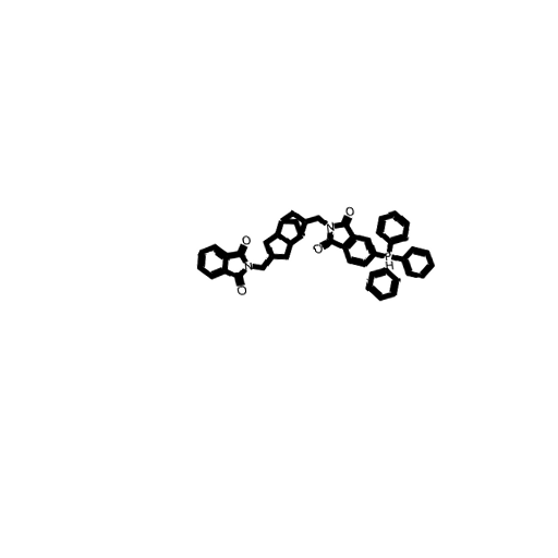 O=C1c2ccccc2C(=O)N1CC1CC2C3CC(CN4C(=O)c5ccc([PH](c6ccccc6)(c6ccccc6)c6ccccc6)cc5C4=O)C(C3)C2C1